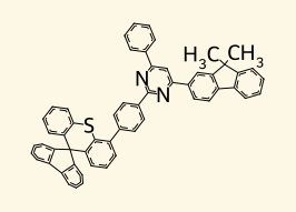 CC1(C)c2ccccc2-c2ccc(-c3cc(-c4ccccc4)nc(-c4ccc(-c5cccc6c5Sc5ccccc5C65c6ccccc6-c6ccccc65)cc4)n3)cc21